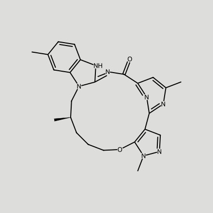 Cc1ccc2c(c1)N1C[C@H](C)CCCOc3c(cnn3C)-c3nc(C)cc(n3)C(=O)/N=C/1N2